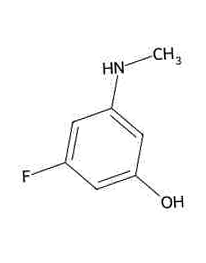 CNc1cc(O)cc(F)c1